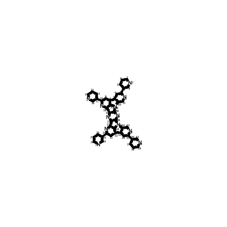 c1cncc(-c2cc3c4cc(-c5cccnc5)nc5c6nc7c8nc(-c9cccnc9)cc9c%10cc(-c%11cccnc%11)ncc%10n(c7nc6n(c3cn2)c45)c98)c1